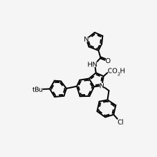 CC(C)(C)c1ccc(-c2ccc3c(c2)c(NC(=O)c2cccnc2)c(C(=O)O)n3Cc2cccc(Cl)c2)cc1